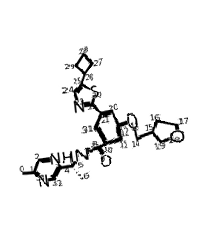 Cc1cnc([C@@H](C)NC(=O)c2cc(OCC3CCOC3)cc(-c3ncc(C4CCC4)s3)c2)cn1